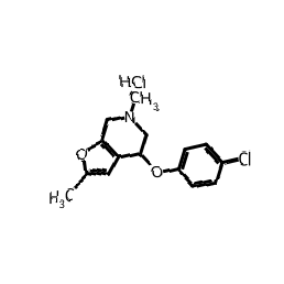 Cc1cc2c(o1)CN(C)CC2Oc1ccc(Cl)cc1.Cl